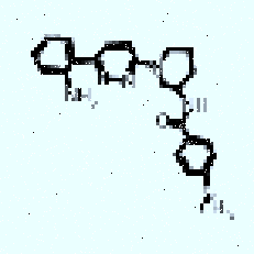 COc1ccc(C(=O)NC2CCCN(c3ccc(-c4ccccc4N)nn3)C2)cc1